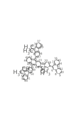 C[SiH]1c2cc(-c3cc4ccccc4c4ccccc34)ccc2-c2cc3c(-c4ccc5c(c4)C(C)(C)c4ccccc4-5)c4ccccc4c(-c4ccc5c(c4)C(C)(C)c4ccccc4-5)c3cc21